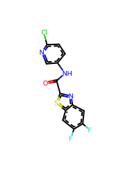 O=C(Nc1ccc(Cl)nc1)c1nc2cc(F)c(F)cc2s1